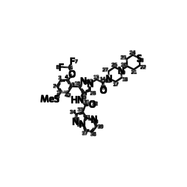 CSc1ccc(OC(F)F)c(-c2nn(CC(=O)N3CCN(C4CCSCC4)CC3)cc2NC(=O)c2cnn3cccnc23)c1